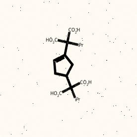 CC(C)C(C(=O)O)(C(=O)O)C1=CCC(C(C(=O)O)(C(=O)O)C(C)C)C1